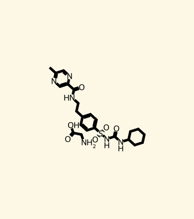 Cc1cnc(C(=O)NCCc2ccc(S(=O)(=O)NC(=O)NC3CCCCC3)cc2)cn1.NCC(=O)O